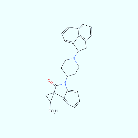 O=C(O)C1CC12C(=O)N(C1CCN(C3Cc4cccc5cccc3c45)CC1)c1ccccc12